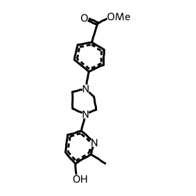 COC(=O)c1ccc(N2CCN(c3ccc(O)c(C)n3)CC2)cc1